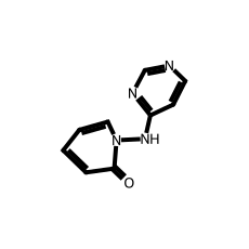 O=c1ccccn1Nc1ccncn1